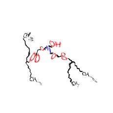 CCCCCCCCC(CCCCCCCC)COC(=O)CCOCCN(CCO)CCOCCC(=O)OCC(CCCCCCCC)CCCCCCCC